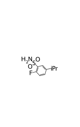 CC(C)c1ccc(F)c(S(N)(=O)=O)c1